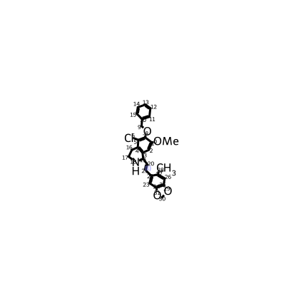 COc1cc2c(c(Cl)c1OCc1ccccc1)CCNC2/C=C/c1cc2c(cc1C)OCO2